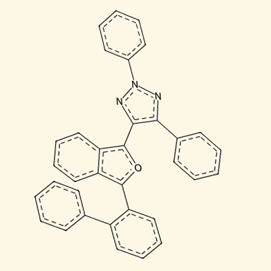 c1ccc(-c2ccccc2-c2oc(-c3nn(-c4ccccc4)nc3-c3ccccc3)c3ccccc23)cc1